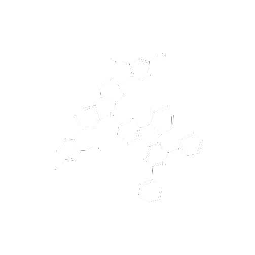 N#Cc1ccc(-c2ccc3c4ccc(-c5ccc(C#N)cc5C#N)cc4n(-c4ccc(-c5nc(-c6ccccc6)nc(-c6ccccc6)n5)c(-c5ccccc5C(F)(F)F)c4)c3c2)c(C#N)c1